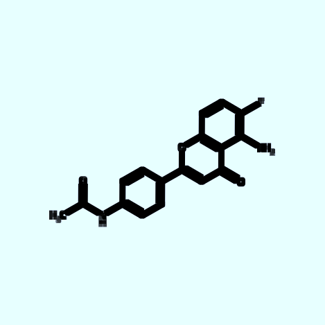 CC(=O)Nc1ccc(-c2cc(=O)c3c(N)c(F)ccc3o2)cc1